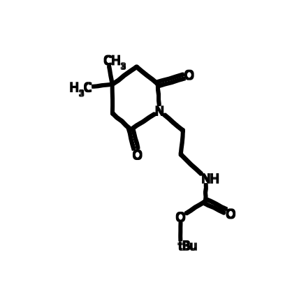 CC1(C)CC(=O)N(CCNC(=O)OC(C)(C)C)C(=O)C1